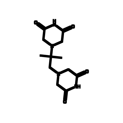 CC(C)(CN1CC(=O)NC(=O)C1)N1CC(=O)NC(=O)C1